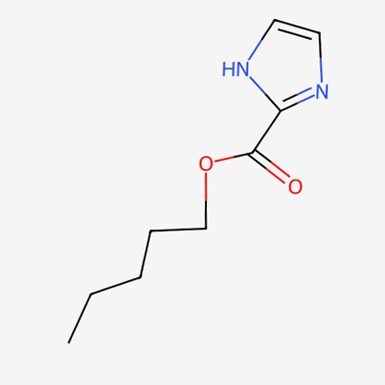 CCCCCOC(=O)c1ncc[nH]1